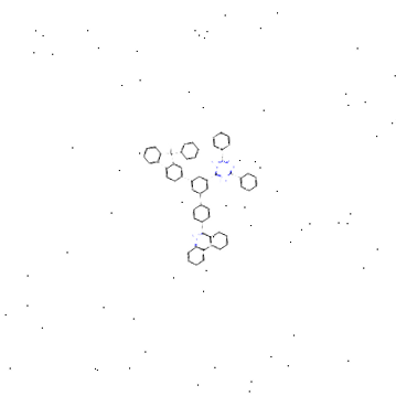 CC1(c2ccccc2)c2ccccc2-c2ccc(-c3cc(-c4ccc(-c5nc6ccccc6c6ccccc56)cc4)cc(-c4nc(-c5ccccc5)nc(-c5ccccc5)n4)c3)cc21